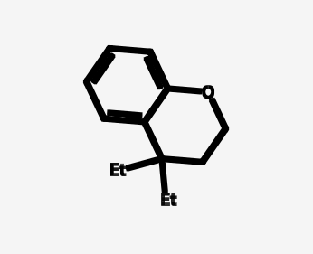 CCC1(CC)CCOc2ccccc21